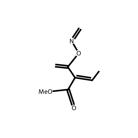 C=NOC(=C)/C(=C\C)C(=O)OC